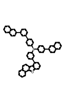 c1cc(-c2ccc(N(c3ccc(-c4ccc5ccccc5c4)cc3)c3cccc(-c4cccc5oc6c7ccccc7ccc6c45)c3)cc2)cc(-c2ccc3ccccc3c2)c1